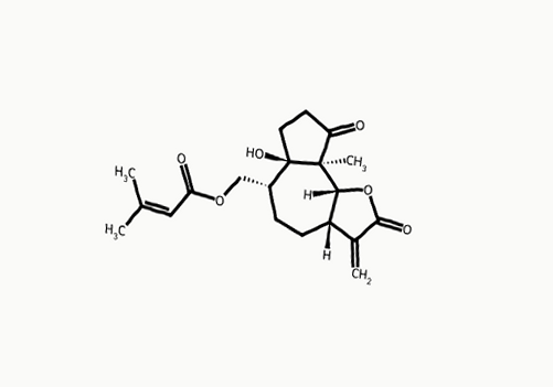 C=C1C(=O)O[C@@H]2[C@H]1CC[C@H](COC(=O)C=C(C)C)[C@]1(O)CCC(=O)[C@@]21C